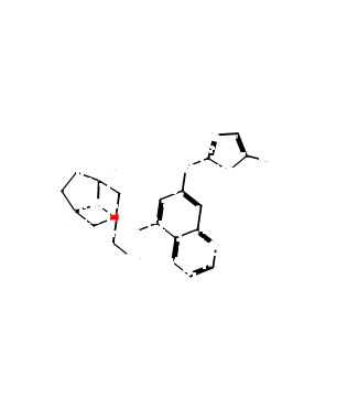 Cc1cnc(Nc2cc(N[C@@H]3C[C@H]4CC[C@@H](C3)N4CCC#N)c3cccnc3c2)s1